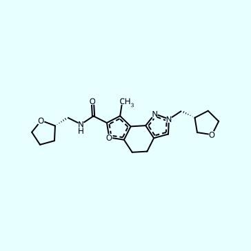 Cc1c(C(=O)NC[C@@H]2CCCO2)oc2c1-c1nn(C[C@@H]3CCOC3)cc1CC2